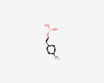 OB(O)O/C=C/c1ccc(C(F)(F)F)cc1